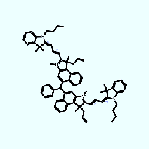 C=CCC1(C)C(/C=C/C=C2/N(CCCC)c3ccccc3C2(C)C)=[N+](C)c2cc(C(c3ccccc3)c3cc4c(c5ccccc35)C(C)(CC=C)C(/C=C/C=C3/N(CCCC)c5ccccc5C3(C)C)=[N+]4C)c3ccccc3c21